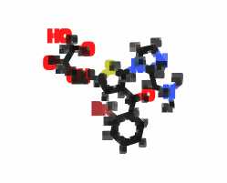 CCc1cc(C(=O)c2ccccc2Br)c(-n2ccnc2CN(C)C)s1.O=C(O)C(=O)O